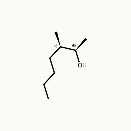 CCCC[C@@H](C)[C@@H](C)O